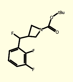 CC(C)(C)OC(=O)N1CC(C(F)c2cccc(F)c2F)C1